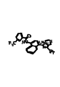 CC(C)C1=C2C=NC=C[N+]2(N)C(c2ccc(NC(=O)c3cccc(C(F)(F)F)c3)c3ccccc23)=N1